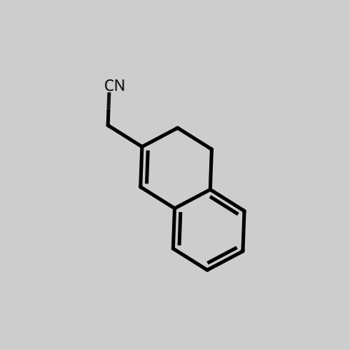 N#CCC1=Cc2ccccc2CC1